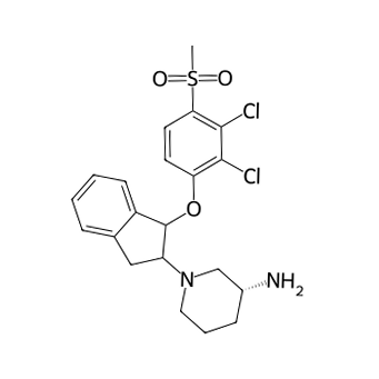 CS(=O)(=O)c1ccc(OC2c3ccccc3CC2N2CCC[C@@H](N)C2)c(Cl)c1Cl